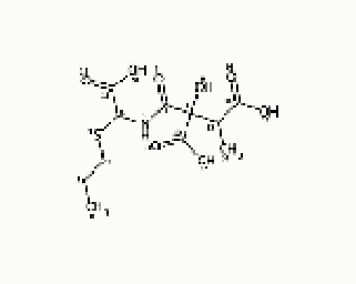 CCCSC(NC(=O)C(O)(C(=O)O)C(C)C(=O)O)C(=O)O